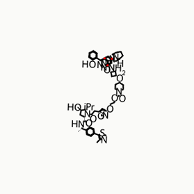 Cc1ncsc1-c1ccc([C@H](C)NC(=O)[C@@H]2C[C@@H](O)CN2C(=O)[C@H](c2cc(OCCOC(=O)N3CCC(OC4CC(Oc5cc(N6C7CC[C@@H]6CN(c6cc(-c8ccccc8O)nnc6N)C7)ccn5)C4)CC3)no2)C(C)C)cc1